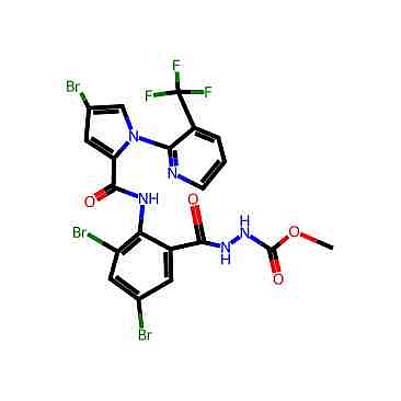 COC(=O)NNC(=O)c1cc(Br)cc(Br)c1NC(=O)c1cc(Br)cn1-c1ncccc1C(F)(F)F